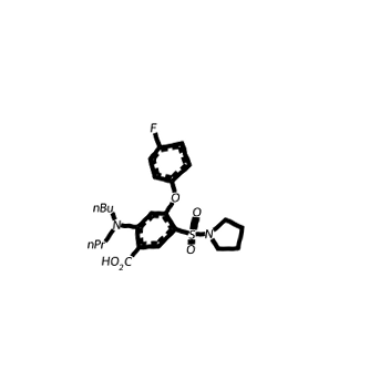 CCCCN(CCC)c1cc(Oc2ccc(F)cc2)c(S(=O)(=O)N2CCCC2)cc1C(=O)O